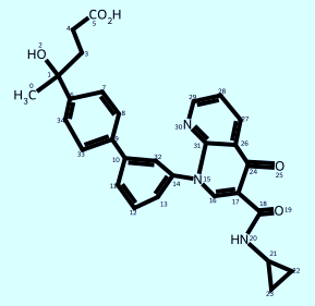 CC(O)(CCC(=O)O)c1ccc(-c2cccc(-n3cc(C(=O)NC4CC4)c(=O)c4cccnc43)c2)cc1